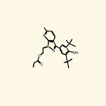 CCC(=O)OCCn1nc(-c2cc(C(C)(C)C)c(O)c(C(C)(C)C)c2)c2ccc(C)nc21